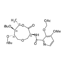 CCCCO[C@H]1COC[C@H](NC(=O)c2nccc(OC)c2OCOC(C)=O)C(=O)O[C@@H](C)[C@@H]1OCC(C)C